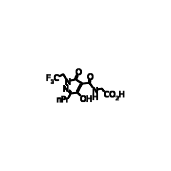 CCCc1nn(CC(F)(F)F)c(=O)c(C(=O)NCC(=O)O)c1O